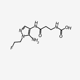 Nc1c(NC(=O)CCNC(=O)O)cnn1CCF